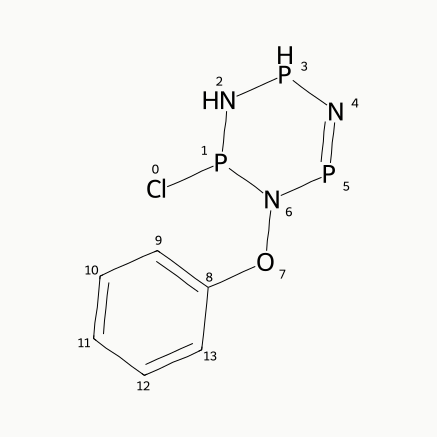 Clp1[nH][pH]npn1Oc1ccccc1